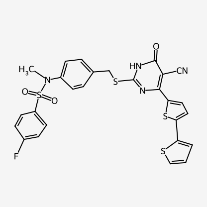 CN(c1ccc(CSc2nc(-c3ccc(-c4cccs4)s3)c(C#N)c(=O)[nH]2)cc1)S(=O)(=O)c1ccc(F)cc1